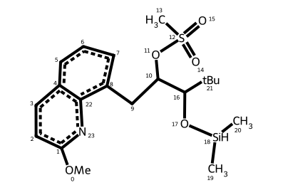 COc1ccc2cccc(CC(OS(C)(=O)=O)C(O[SiH](C)C)C(C)(C)C)c2n1